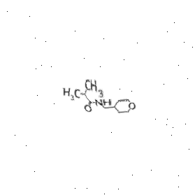 CC(C)C(=O)NCC1C=COCC1